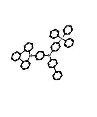 c1ccc(-c2ccc(N(c3ccc(N4c5ccccc5-c5ccccc5-c5ccccc54)cc3)c3ccc([Si](c4ccccc4)(c4ccccc4)c4ccccc4)cc3)cc2)cc1